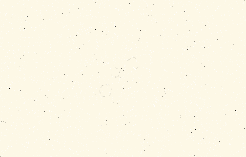 COc1cc(OC)cc(-c2nc(-c3cccc(C(F)(F)F)c3)cs2)c1